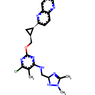 CC1=NC(CNc2nc(OC[C@H]3C[C@@H]3c3ccc4ncccc4n3)nc(Cl)c2C)NN1C